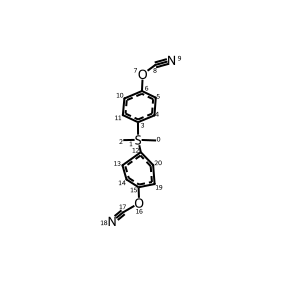 CS(C)(c1ccc(OC#N)cc1)c1ccc(OC#N)cc1